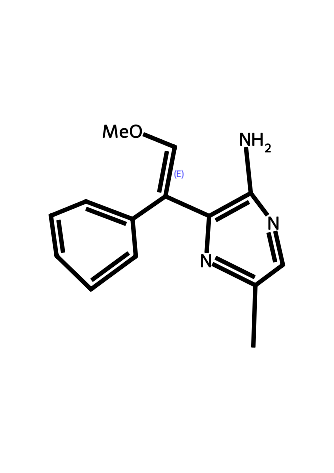 CO/C=C(\c1ccccc1)c1nc(C)cnc1N